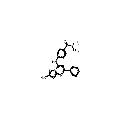 Cc1cc2nc(-c3ccccc3)cc(Nc3ccc(C(=O)N(C)C)cc3)n2n1